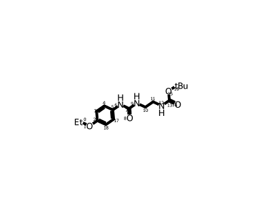 CCOc1ccc(NC(=O)NCCNC(=O)OC(C)(C)C)cc1